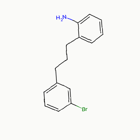 Nc1ccccc1CCCc1cccc(Br)c1